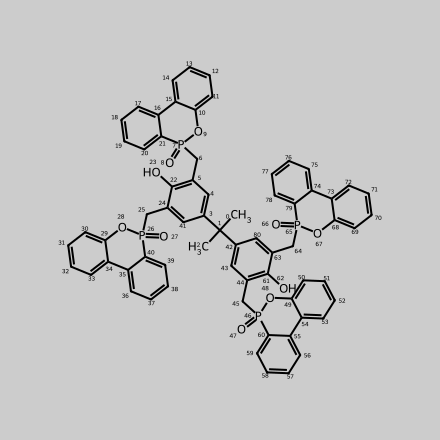 CC(C)(c1cc(CP2(=O)Oc3ccccc3-c3ccccc32)c(O)c(CP2(=O)Oc3ccccc3-c3ccccc32)c1)c1cc(CP2(=O)Oc3ccccc3-c3ccccc32)c(O)c(CP2(=O)Oc3ccccc3-c3ccccc32)c1